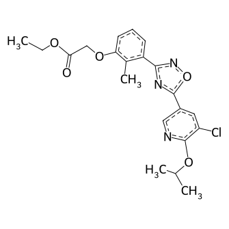 CCOC(=O)COc1cccc(-c2noc(-c3cnc(OC(C)C)c(Cl)c3)n2)c1C